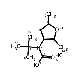 CC1CC(N(C(=O)O)C(C)(C)C)C(C)O1.Cl